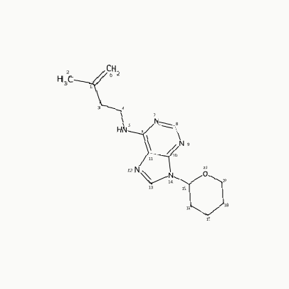 C=C(C)CCNc1ncnc2c1ncn2C1CCCCO1